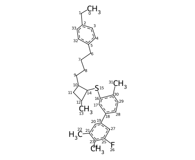 CCc1ccc(CCCCC2CC(C)C2Sc2cc(-c3cc(C)c(C)c(F)c3)ccc2C)cc1